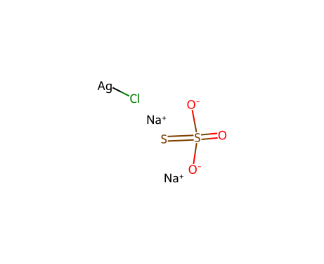 O=S([O-])([O-])=S.[Cl][Ag].[Na+].[Na+]